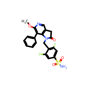 COc1ncc2c(c1-c1ccccc1)N(Cc1c(F)cc(S(N)(=O)=O)cc1F)C(=O)C2